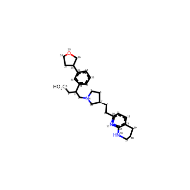 O=C(O)CC(CN1CC[C@@H](CCc2ccc3c(n2)NCCC3)C1)c1cccc(C2CCOC2)c1